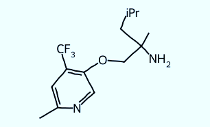 Cc1cc(C(F)(F)F)c(OCC(C)(N)CC(C)C)cn1